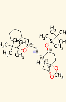 CO[C@@]12CC[C@H](O[Si](C)(C)C(C)(C)C)[C@@H](/C=C/[C@H](CC3CCCCC3)O[Si](C)(C)C(C)(C)C)[C@@H]1CC2=O